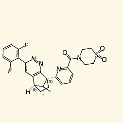 CC1(C)[C@H]2CC[C@]1(c1cccc(C(=O)N3CCS(=O)(=O)CC3)n1)c1nnc(-c3c(F)cccc3F)cc12